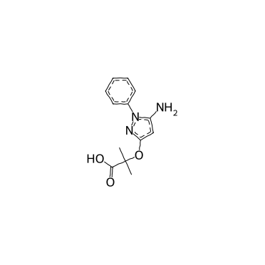 CC(C)(Oc1cc(N)n(-c2ccccc2)n1)C(=O)O